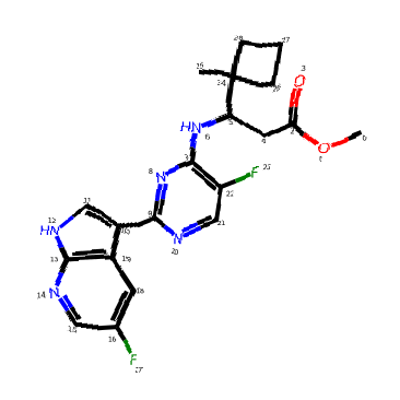 COC(=O)CC(Nc1nc(-c2c[nH]c3ncc(F)cc23)ncc1F)C1(C)CCC1